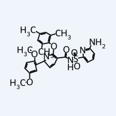 COc1ccc(OC)c(-c2ccc(C(=O)NS(=O)(=O)c3cccc(N)n3)c(Oc3c(C)cc(C)cc3C)n2)c1